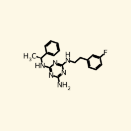 C[C@H](Nc1nc(N)nc(NCCc2cccc(F)c2)n1)c1ccccc1